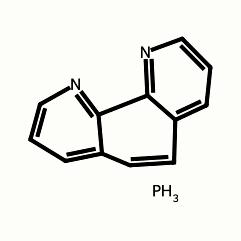 P.c1cnc2c(c1)ccc1cccnc12